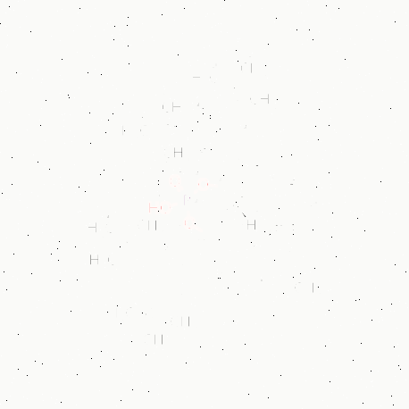 CC1CCc2c(cc(-c3cc(C(C)(C)C)cc(C(C)(C)C)c3)c3c2[C@H]2c4ccccc4CC(c4cc(C(C)(C)C)cc(C(C)(C)C)c4)C2OP(=O)(O)O3)C1